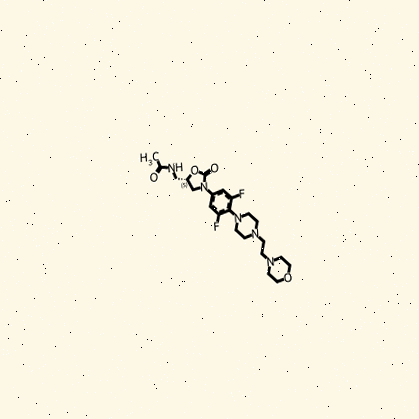 CC(=O)NC[C@H]1CN(c2cc(F)c(N3CCN(CCN4CCOCC4)CC3)c(F)c2)C(=O)O1